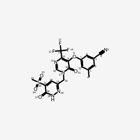 Cc1cc(C#N)cc(Oc2c(C(F)(F)F)ncn(Cc3cc(S(C)(=O)=O)c(=O)[nH]n3)c2=O)c1